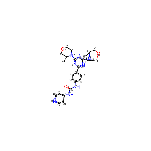 C[C@H]1COCCN1c1nc(-c2ccc(NC(=O)Nc3ccncc3)cc2)nc(N2C3CCC2COC3)n1